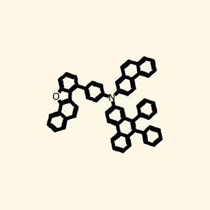 c1ccc(-c2c(-c3ccccc3)c3cc(N(c4ccc(-c5cccc6oc7c8ccccc8ccc7c56)cc4)c4ccc5c(ccc6ccccc65)c4)ccc3c3ccccc23)cc1